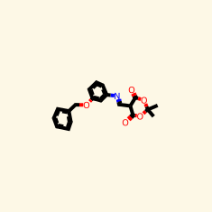 CC1(C)OC(=O)C(/C=N/c2cccc(OCc3ccccc3)c2)C(=O)O1